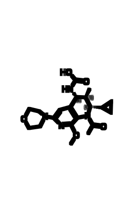 COc1nc(N2CCOCC2)cc2c1N(C(C)=O)[C@@H](C1CC1)[C@H](C)[C@H]2NC(=O)O